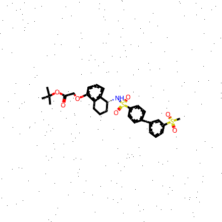 CC(C)(C)OC(=O)COc1cccc2c1CCC[C@H]2NS(=O)(=O)c1ccc(-c2cccc(S(C)(=O)=O)c2)cc1